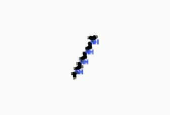 C=C(C)NCCCNCCCNCCCNCC